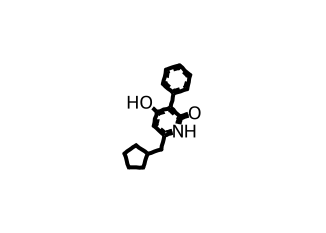 O=c1[nH]c(CC2CCCC2)cc(O)c1-c1ccccc1